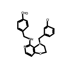 O=Cc1ccc(CNc2nccc3c2N(Cc2cccc(Cl)c2)CCO3)cc1